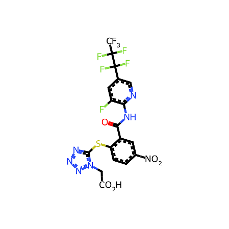 O=C(O)Cn1nnnc1Sc1ccc([N+](=O)[O-])cc1C(=O)Nc1ncc(C(F)(F)C(F)(F)C(F)(F)F)cc1F